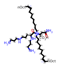 CCCCCCCC/C=C\CCCCCCCC[N+](CCCCCCCC/C=C\CCCCCCCC)(C(=O)[C@H](CCCNCCCN)NCCCN)[C@@H](CC(N)=O)C(=O)O